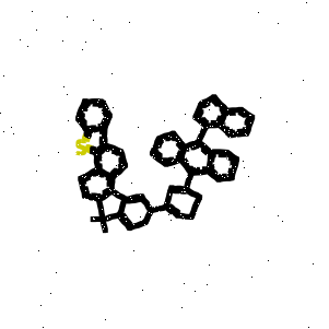 CC1(C)C2=CCC(C3=CCCC(c4c5ccccc5c(-c5cccc6ccccc56)c5ccccc45)=C3)C=C2c2c1ccc1c2ccc2c3ccccc3sc12